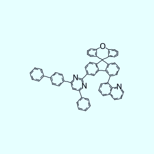 c1ccc(-c2ccc(-c3cc(-c4ccccc4)nc(-c4ccc5c(c4)-c4c(-c6cccc7cccnc67)cccc4C54c5ccccc5Oc5ccccc54)n3)cc2)cc1